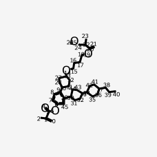 C=C(C)C(=O)Oc1ccc(C2CCC(OCCCCOC(=C)C(C)COC)CC2)c(C2CCC(C3CCC(CCC)CC3)CC2)c1